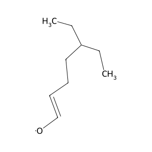 CCC(CC)CCC=C[O]